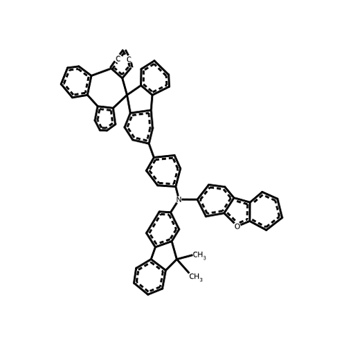 CC1(C)c2ccccc2-c2ccc(N(c3ccc(-c4ccc5c(c4)-c4ccccc4C54c5ccccc5-c5ccccc5-c5ccccc54)cc3)c3ccc4c(c3)oc3ccccc34)cc21